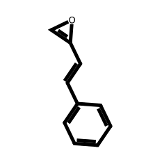 C(=Cc1ccccc1)C1=CO1